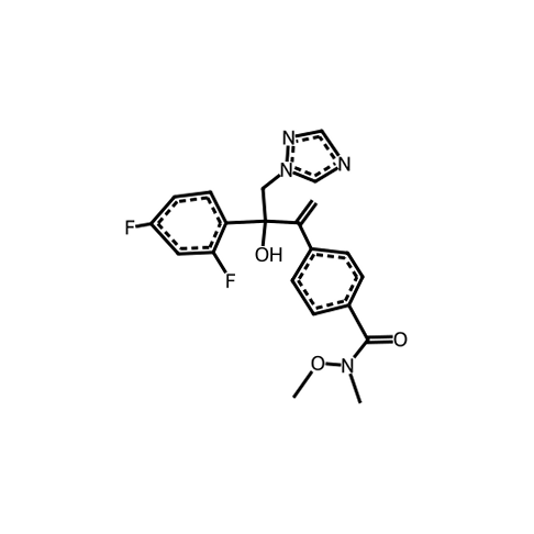 C=C(c1ccc(C(=O)N(C)OC)cc1)C(O)(Cn1cncn1)c1ccc(F)cc1F